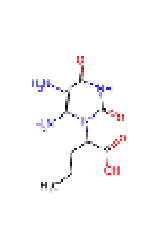 CCCC(C(=O)O)n1c(N)c(N)c(=O)[nH]c1=O